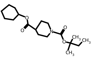 CCC(C)(C)OC(=O)N1CCC(C(=O)OC2CCCCC2)CC1